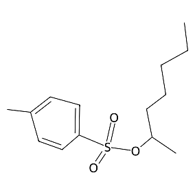 CCCCCC(C)OS(=O)(=O)c1ccc(C)cc1